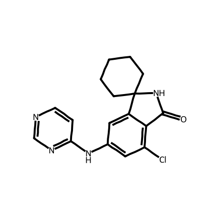 O=C1NC2(CCCCC2)c2cc(Nc3ccncn3)cc(Cl)c21